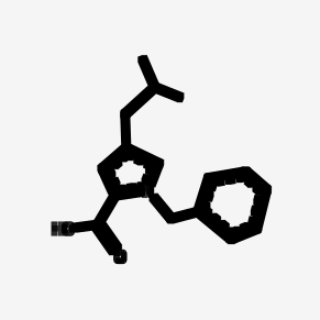 CC(C)Cc1cc(C(=O)O)n(Cc2ccccc2)c1